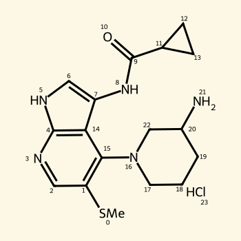 CSc1cnc2[nH]cc(NC(=O)C3CC3)c2c1N1CCCC(N)C1.Cl